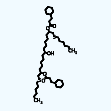 CCCCCCSCC(CCCCCC(O)CCCCCC(CSCCCCCC)OC(=O)CCC1CCCCC1)OC(=O)CCC1CCCCC1